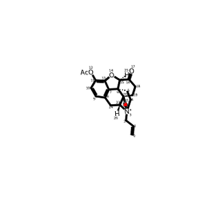 C=CC[N+]12CC[C@]34c5c6ccc(OC(C)=O)c5O[C@H]3C(=O)CC[C@@]4(OC1)[C@H]2C6